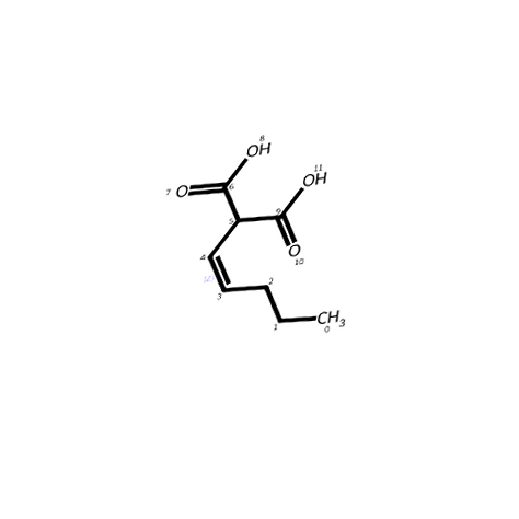 CCC/C=C\C(C(=O)O)C(=O)O